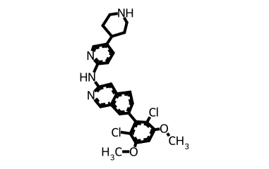 COc1cc(OC)c(Cl)c(-c2ccc3cc(Nc4ccc(C5CCNCC5)cn4)ncc3c2)c1Cl